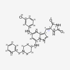 O=C1NC(=O)/C(=C/c2cnn3c(NC4CCN(Cc5ccccn5)CC4)cc(Nc4cccc(Cl)c4)nc23)N1